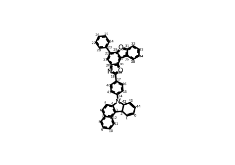 C1=CC2c3c(ccc4ccccc34)N(c3ccc(-c4nc5cc(-c6ccccc6)c6oc7ccccc7c6c5o4)cc3)C2C=C1